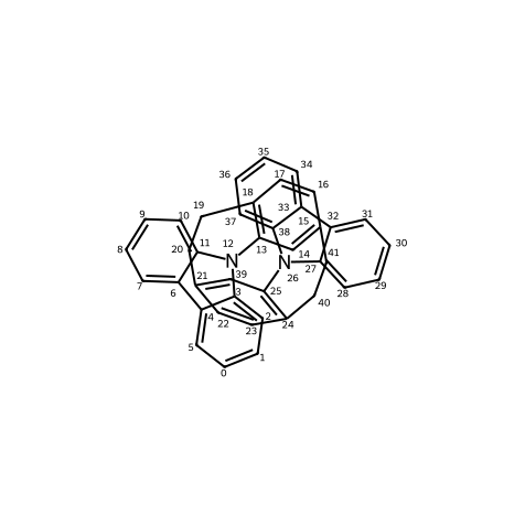 c1ccc2c(c1)c1ccccc1n2-c1cc2ccc1CCc1ccc(c(-n3c4ccccc4c4ccccc43)c1)CC2